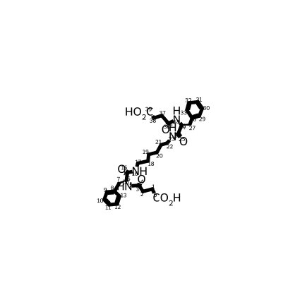 O=C(O)CCC(=O)N[C@@H](Cc1ccccc1)C(=O)NCCCCCCNC(=O)[C@H](Cc1ccccc1)NC(=O)CCC(=O)O